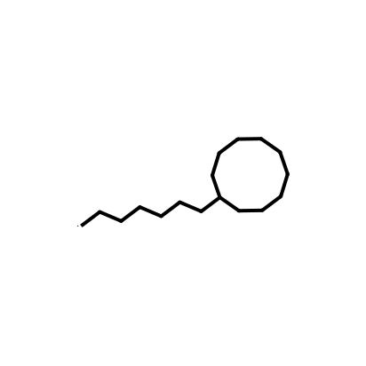 [CH2]CCCCCCC1CCCCCCCCC1